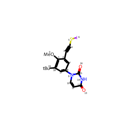 COc1c(C#CSI)cc(-n2ccc(=O)[nH]c2=O)cc1C(C)(C)C